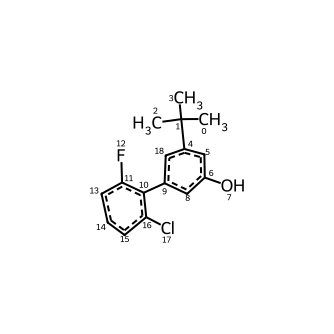 CC(C)(C)c1cc(O)cc(-c2c(F)cccc2Cl)c1